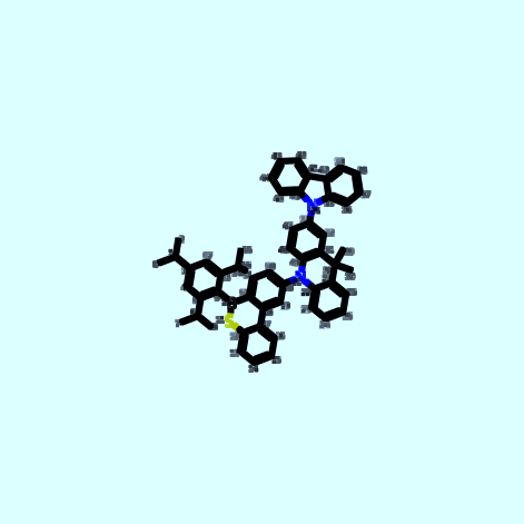 CC(C)c1cc(C(C)C)c(B2Sc3ccccc3-c3cc(N4c5ccccc5C(C)(C)c5cc(-n6c7ccccc7c7ccccc76)ccc54)ccc32)c(C(C)C)c1